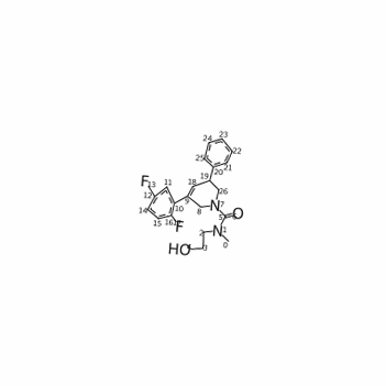 CN(CCO)C(=O)N1CC(c2cc(F)ccc2F)=CC(c2ccccc2)C1